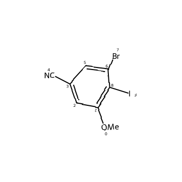 COc1cc(C#N)cc(Br)c1I